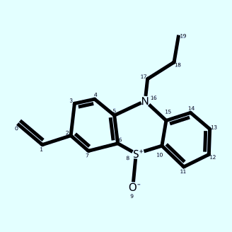 C=Cc1ccc2c(c1)[S+]([O-])c1ccccc1N2CCC